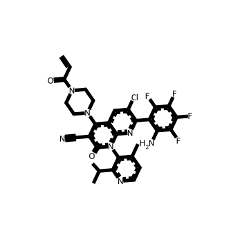 C=CC(=O)N1CCN(c2c(C#N)c(=O)n(-c3c(C)ccnc3C(C)C)c3nc(-c4c(N)c(F)c(F)c(F)c4F)c(Cl)cc23)CC1